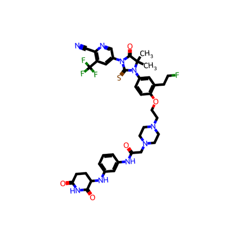 CC1(C)C(=O)N(c2cnc(C#N)c(C(F)(F)F)c2)C(=S)N1c1ccc(OCCN2CCN(CC(=O)Nc3cccc(NC4CCC(=O)NC4=O)c3)CC2)c(CCF)c1